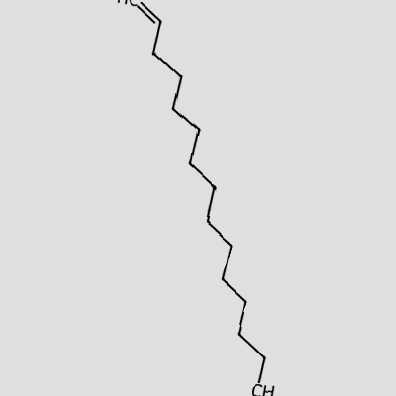 [CH]=CCCCCCCCCCCCCC